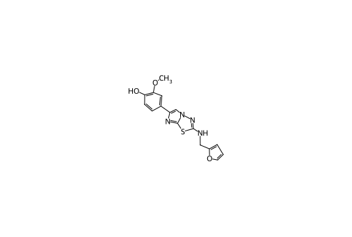 COc1cc(-c2cn3nc(NCc4ccco4)sc3n2)ccc1O